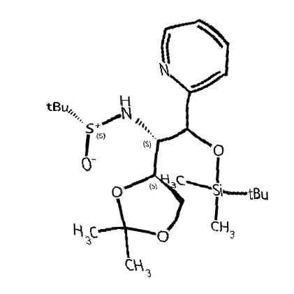 CC1(C)OC[C@H]([C@H](N[S@+]([O-])C(C)(C)C)C(O[Si](C)(C)C(C)(C)C)c2ccccn2)O1